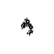 O=C1c2cc(-c3nnc(C(F)F)o3)ccc2CN1C1CCC(F)(F)C[C@H]1NC(=O)C(F)(F)C(F)(F)F